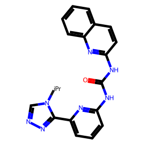 CC(C)n1cnnc1-c1cccc(NC(=O)Nc2ccc3ccccc3n2)n1